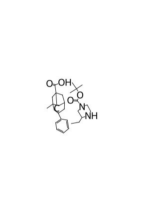 CC12CC3CC(C(=O)O)(C1)CC(c1ccccc1)(C3)C2.CCC1CN(C(=O)OC(C)(C)C)CCN1